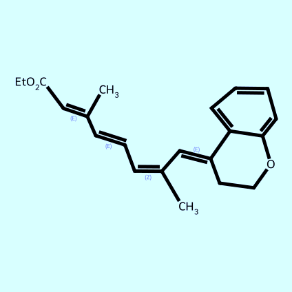 CCOC(=O)/C=C(C)/C=C/C=C(C)\C=C1/CCOc2ccccc21